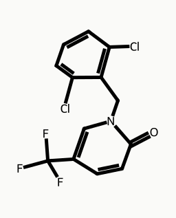 O=c1ccc(C(F)(F)F)cn1Cc1c(Cl)cccc1Cl